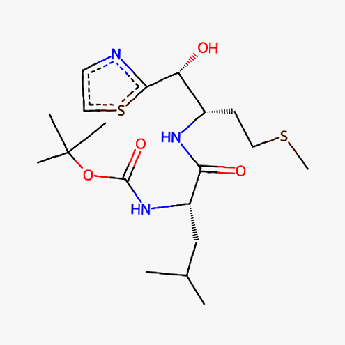 CSCC[C@H](NC(=O)[C@H](CC(C)C)NC(=O)OC(C)(C)C)[C@@H](O)c1nccs1